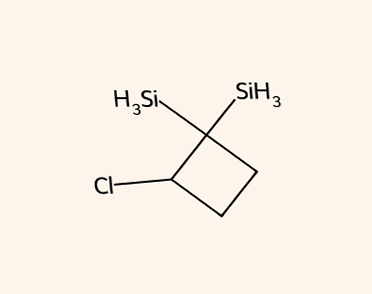 [SiH3]C1([SiH3])CCC1Cl